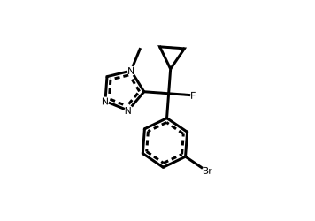 Cn1cnnc1C(F)(c1cccc(Br)c1)C1CC1